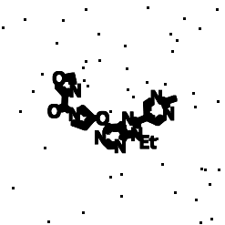 CCn1c(-c2cnc(C)nc2)nc2c(Oc3ccn(C(=O)c4cocn4)c3)ncnc21